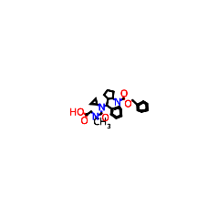 CN(CC(=O)O)C(=O)N(C1CC1)C1c2ccccc2N(C(=O)OCc2ccccc2)C2CCCC21